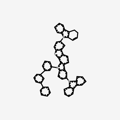 C1=Cc2c(c3ccccc3n2-c2ccc3sc4c(ccc5c6cc(-n7c8ccccc8c8ccccc87)ccc6n(-c6cccc(-c7cccc(-c8ccccc8)c7)c6)c54)c3c2)CC1